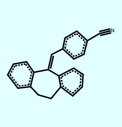 N#Cc1ccc(C=C2c3ccccc3CCc3ccccc32)cc1